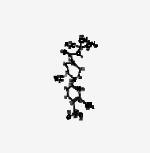 C[C@@H]1CN(C(=O)OC(C)(C)C)CCN1c1ccc([N+](=O)[O-])c(N)n1